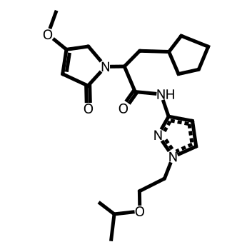 COC1=CC(=O)N(C(CC2CCCC2)C(=O)Nc2ccn(CCOC(C)C)n2)C1